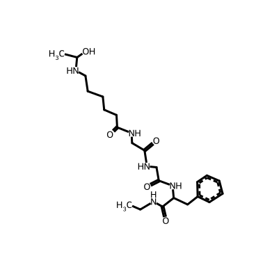 CCNC(=O)C(Cc1ccccc1)NC(=O)CNC(=O)CNC(=O)CCCCCNC(C)O